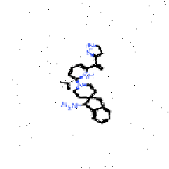 C=C(C1=CC=C[C@](C(C)C)(N2CCC3(CC2)Cc2ccccc2C3N)N1)C1=NNCC1